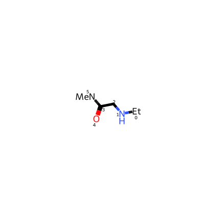 CCNCC(=O)NC